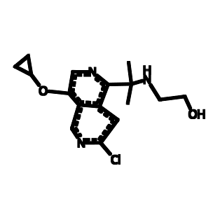 CC(C)(NCCO)c1ncc(OC2CC2)c2cnc(Cl)cc12